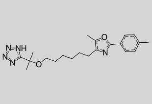 Cc1ccc(-c2nc(CCCCCCOC(C)(C)c3nnn[nH]3)c(C)o2)cc1